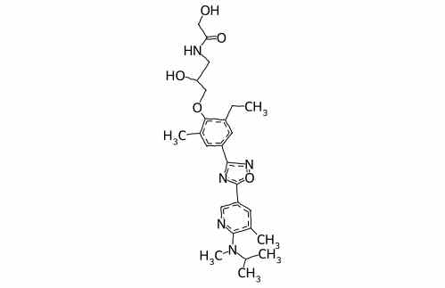 CCc1cc(-c2noc(-c3cnc(N(C)C(C)C)c(C)c3)n2)cc(C)c1OCC(O)CNC(=O)CO